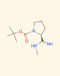 CNC(=N)[C@@H]1CCCN1C(=O)OC(C)(C)C